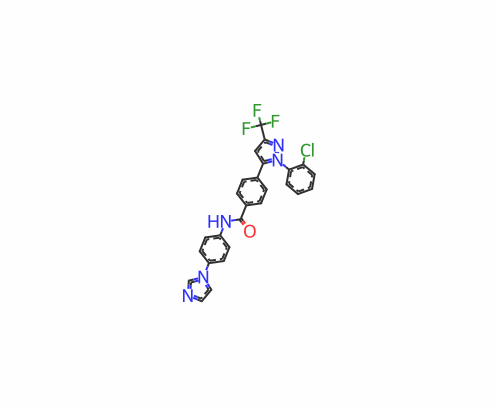 O=C(Nc1ccc(-n2ccnc2)cc1)c1ccc(-c2cc(C(F)(F)F)nn2-c2ccccc2Cl)cc1